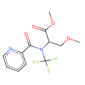 COCC(C(=O)OC)N(C(=O)c1ccccn1)C(F)(F)F